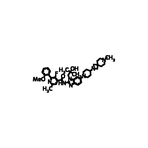 COc1ccccc1-c1nc(C)cc(C(=O)Nc2nc3ccc(N4CCC(N5CC6(CCN(C)CC6)C5)CC4)cc3n2CC(C)(C)O)c1F